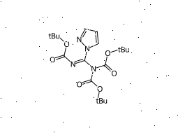 CC(C)(C)OC(=O)N=C(N(C(=O)OC(C)(C)C)C(=O)OC(C)(C)C)n1cccn1